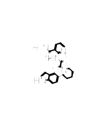 C[C@@H]1CC[C@@H](c2ccc3[nH]ccc3c2)N(C(=O)C(=O)Nc2ncccc2C(N)=O)C1